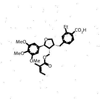 C/C=C(/C)C(=O)OC[C@H]1[C@@H](Cc2ccc(C(=O)O)c(CC)c2)CO[C@@H]1c1cc(OC)c(OC)c(OC)c1